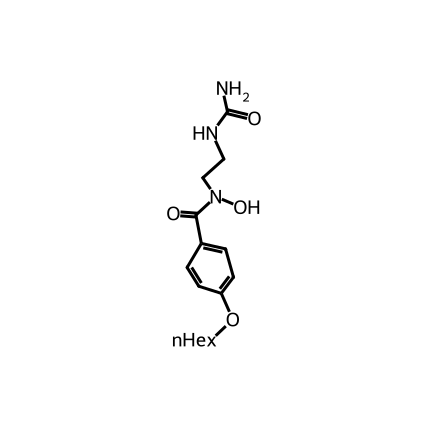 CCCCCCOc1ccc(C(=O)N(O)CCNC(N)=O)cc1